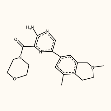 Cc1cc(-c2cnc(N)c(C(=O)N3CCOCC3)n2)cc2c1CCN(C)C2